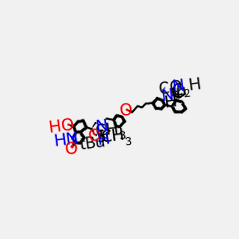 CC(C)(C)[Si](C)(C)O[C@H](CNCc1cccc(OCCCCc2ccc(-c3ccccc3)c(N(C(=O)O)[C@H]3CN4CCC3CC4)c2)c1)c1ccc(O)c2[nH]c(=O)ccc12